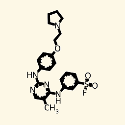 Cc1cnc(Nc2ccc(OCCN3CCCC3)cc2)nc1Nc1cccc(S(=O)(=O)F)c1